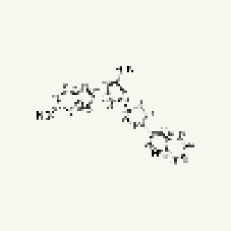 N#Cc1cc(-c2ccc(-c3cnc4ccccc4c3)cc2)cc(-c2nc3ccc(C#N)cc3s2)c1